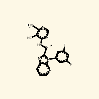 C[C@@H](Nc1ncnc(N)c1C#N)c1nc2cccnc2n1-c1cc(F)cc(F)c1